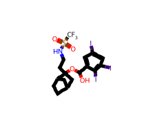 O=S(=O)(NCCC1(OC(O)c2cc(I)cc(I)c2I)CC2CCC1C2)C(F)(F)F